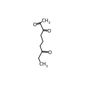 CCC(=O)CCCC(=O)C(C)=O